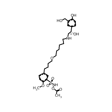 COc1ccc(CCCCOCCCCCCNC[C@@H](O)c2ccc(O)c(CO)c2)cc1S(=O)(=O)NOC(C)=O